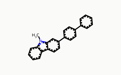 Cn1c2ccccc2c2ccc(-c3ccc(-c4ccccc4)cc3)cc21